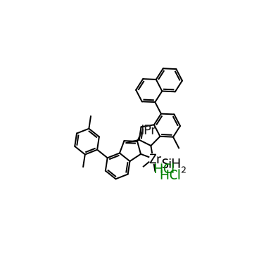 CC1=Cc2c(-c3cccc4ccccc34)ccc(C)c2[CH]1[Zr]([CH3])([CH3])(=[SiH2])[CH]1C(C(C)C)=Cc2c(-c3cc(C)ccc3C)cccc21.Cl.Cl